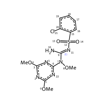 COc1nc(OC)nc(N(OC)/C(N)=N/S(=O)(=O)c2ccccc2Cl)n1